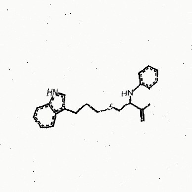 C=C(C)C(CSCCCc1c[nH]c2ccccc12)Nc1ccccc1